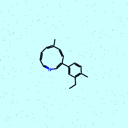 CCc1cc(-c2ccc(C)ccccnc2)ccc1C